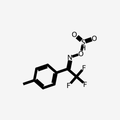 Cc1ccc(C(=NO[SH](=O)=O)C(F)(F)F)cc1